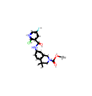 CC(C)(C)OC(=O)N1Cc2cc(NC(=O)c3cc(F)cnc3Cl)ccc2C(C)(C)C1